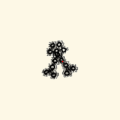 c1ccc(-c2ccccc2-c2ccc(-c3ccccc3-c3ccccc3)c3nc(-c4ccc(-c5ccc(N(c6ccccc6)c6ccccc6)cc5)cc4)c(-c4ccc(-c5ccc(N(c6ccccc6)c6ccccc6)cc5)cc4)nc23)cc1